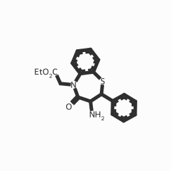 CCOC(=O)CN1C(=O)C(N)C(c2ccccc2)Sc2ccccc21